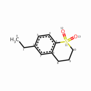 CCc1ccc2c(c1)CCCS2(=O)=O